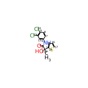 CC(O)(C(=O)Nc1ccc(Cl)c(Cl)c1)c1cccs1